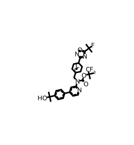 CC(C)(O)c1ccc(-c2ccnc(N(CC34CCC(c5noc(C(C)(C)F)n5)(CC3)CC4)C(=O)OC(C)(C)C(F)(F)F)c2)cc1